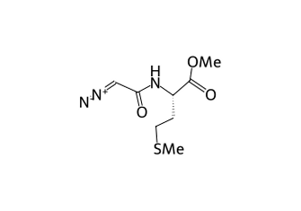 COC(=O)[C@H](CCSC)NC(=O)C=[N+]=[N-]